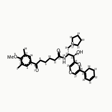 COc1c(C)cc(C(=O)CCCCC(=O)N[C@H](CN2CCCC2)[C@@H](O)C2=COC=C(C3=CC=CCC3)O2)cc1C